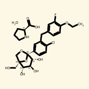 CCOc1ccc(Cc2cc([C@@]34OC[C@@](CO)(O3)[C@@H](O)[C@H](O)[C@H]4O)ccc2Cl)cc1F.O.O=C(O)[C@@H]1CCCN1